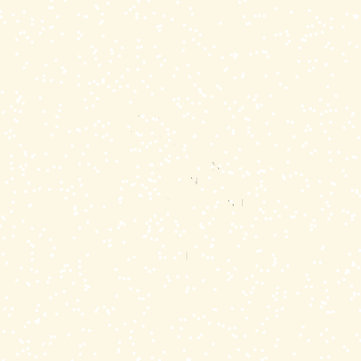 CN[C@@H]1C[C@H](c2c(C=O)cccc2OC(F)F)n2c1nc1ccc(B3OC(C)(C)C(C)(C)O3)cc12